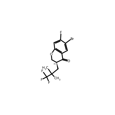 CC(C)(C[C@H]1COc2cc(F)c(Br)cc2C1=O)C(F)(F)F